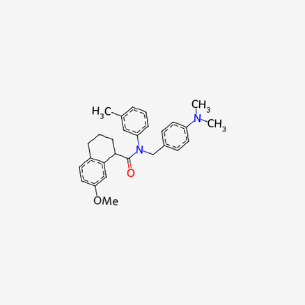 COc1ccc2c(c1)C(C(=O)N(Cc1ccc(N(C)C)cc1)c1cccc(C)c1)CCC2